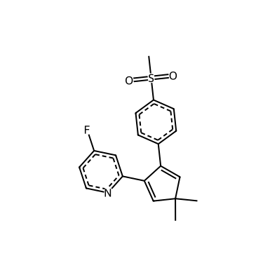 CC1(C)C=C(c2ccc(S(C)(=O)=O)cc2)C(c2cc(F)ccn2)=C1